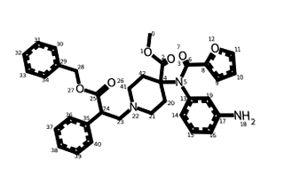 COC(=O)C1(N(C(=O)c2ccco2)c2cccc(N)c2)CCN(CC(C(=O)OCc2ccccc2)c2ccccc2)CC1